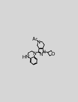 CC(=O)N1CCc2c(c(N3CCNc4ccccc43)nn2C2COC2)C1